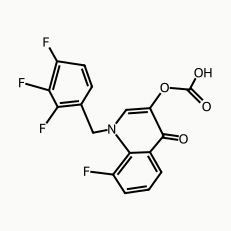 O=C(O)Oc1cn(Cc2ccc(F)c(F)c2F)c2c(F)cccc2c1=O